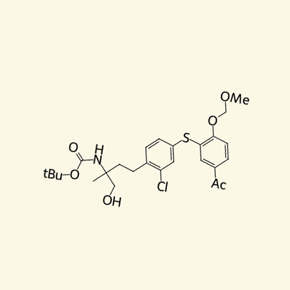 COCOc1ccc(C(C)=O)cc1Sc1ccc(CCC(C)(CO)NC(=O)OC(C)(C)C)c(Cl)c1